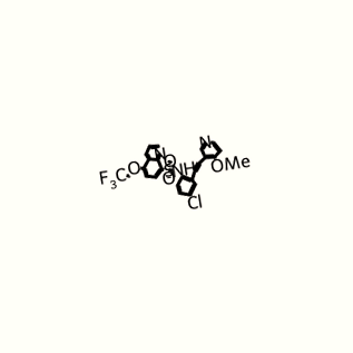 COc1ccncc1C#Cc1cc(Cl)ccc1NS(=O)(=O)c1ccc(OCC(F)(F)F)c2cccnc12